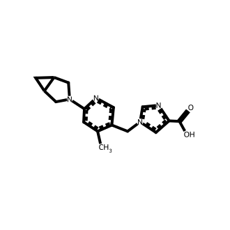 Cc1cc(N2CC3CC3C2)ncc1Cn1cnc(C(=O)O)c1